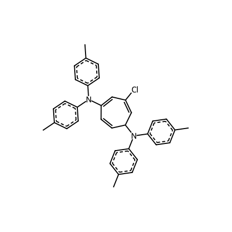 Cc1ccc(N(C2=CC(Cl)=CC(N(c3ccc(C)cc3)c3ccc(C)cc3)C=C2)c2ccc(C)cc2)cc1